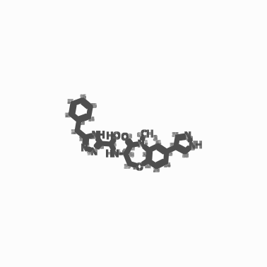 CN1C(=O)[C@@H](NC(O)c2nnc(Cc3ccccc3)[nH]2)COc2ccc(-c3cn[nH]c3)cc21